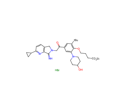 Br.CCOC(=O)CCCOc1c(N2CCC(O)CC2)cc(C(=O)CN2Cc3ccc(C4CC4)nc3C2=N)cc1C(C)(C)C